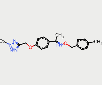 CCn1nnc(COc2ccc(/C(C)=N/OCc3ccc(C)cc3)cc2)n1